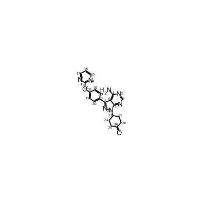 Nc1ncnc2c1c(-c1ccc(Oc3ncccn3)cc1)nn2C1CCC(=O)CC1